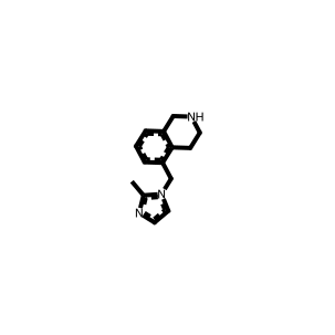 Cc1nccn1Cc1cccc2c1CCNC2